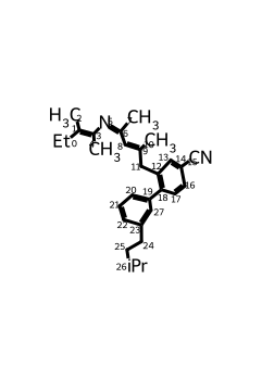 CC/C(C)=C(C)/N=C(C)\C=C(/C)Cc1cc(C#N)ccc1-c1cccc(CCC(C)C)c1